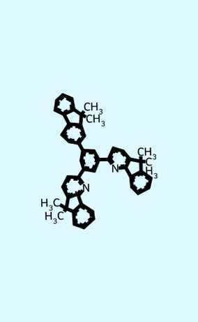 CC1(C)c2ccccc2-c2ccc(-c3cc(-c4ccc5c(n4)-c4ccccc4C5(C)C)cc(-c4ccc5c(n4)-c4ccccc4C5(C)C)c3)cc21